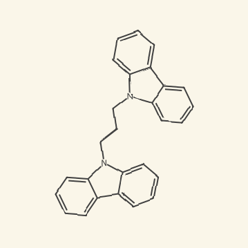 c1ccc2c(c1)c1ccccc1n2CCCn1c2ccccc2c2ccccc21